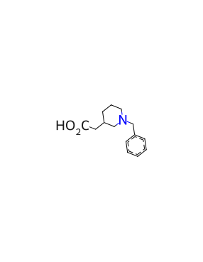 O=C(O)CC1CCCN(Cc2ccccc2)C1